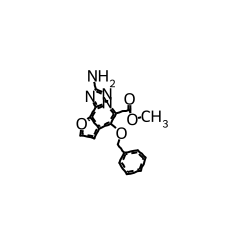 COC(=O)c1c(OCc2ccccc2)c2ccoc2c2nc(N)nn12